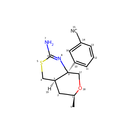 C[C@H]1C[C@H]2CSC(N)=N[C@@]2(c2cccc(C#N)c2)CO1